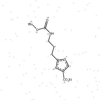 CCOC(=O)c1csc(CCCNC(=O)OC(C)(C)C)n1